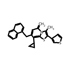 C=C1C=C(Cc2cccc3ccccc23)C(C2CC2)=C2SC(c3ccsc3)=C(C)N12